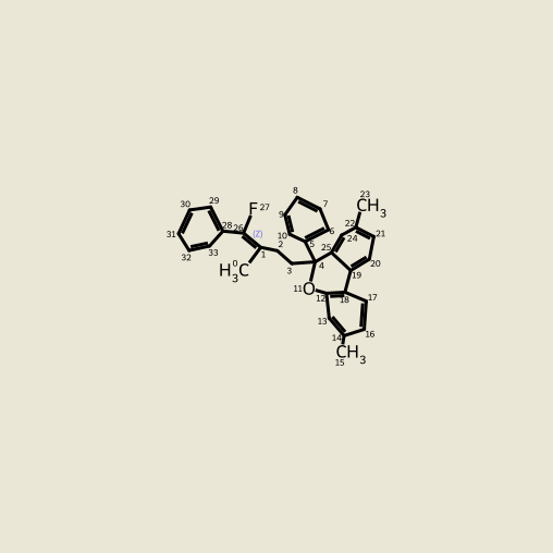 C/C(CCC1(c2ccccc2)Oc2cc(C)ccc2-c2ccc(C)cc21)=C(/F)c1ccccc1